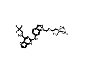 C[Si](C)(C)CCOCn1ncc2ccc(Nc3nc(NCC(F)(F)F)c4occc4n3)cc21